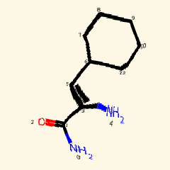 NC(=O)/C(N)=C/C1CCCCC1